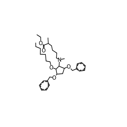 CCCCCCCOC1C(OCc2ccccc2)CC(OCc2ccccc2)C1N(C)CCCCC(C)C(=O)OCC